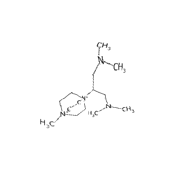 CN(C)CC(CN(C)C)[N+]12CC[N+](C)(CC1)CC2